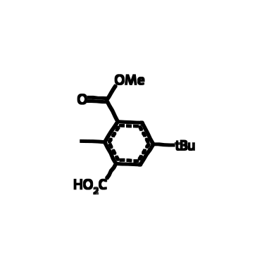 COC(=O)c1cc(C(C)(C)C)cc(C(=O)O)c1C